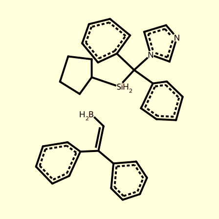 BC=C(c1ccccc1)c1ccccc1.c1ccc(C([SiH2]C2CCCC2)(c2ccccc2)n2ccnc2)cc1